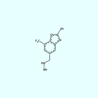 CCCNCc1cc(C(F)(F)F)c2oc(C(C)C)nc2c1